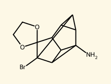 NC12C3C4C5C1C2C(Br)(C43)C51OCCO1